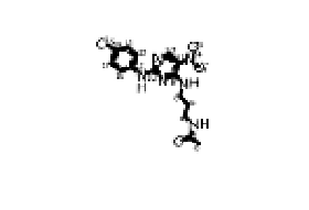 CC(=O)NCCCNc1nc(Nc2ccc(Cl)cc2)ncc1[N+](=O)[O-]